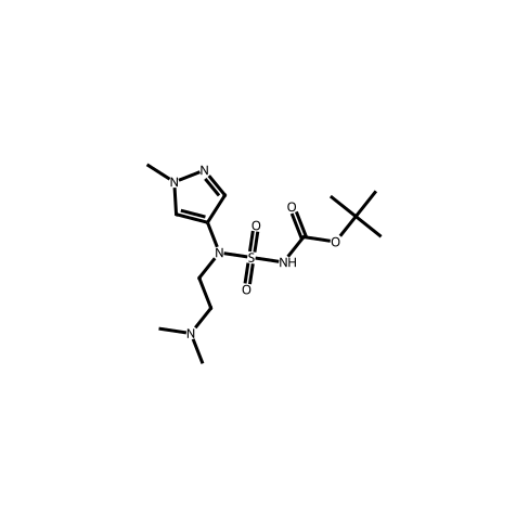 CN(C)CCN(c1cnn(C)c1)S(=O)(=O)NC(=O)OC(C)(C)C